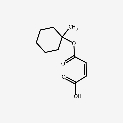 CC1(OC(=O)/C=C\C(=O)O)CCCCC1